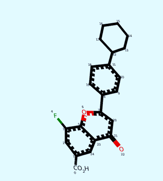 O=C(O)c1cc(F)c2oc(-c3ccc(C4CCCCC4)cc3)cc(=O)c2c1